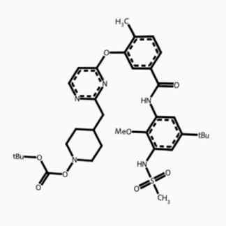 COc1c(NC(=O)c2ccc(C)c(Oc3ccnc(CC4CCN(OC(=O)OC(C)(C)C)CC4)n3)c2)cc(C(C)(C)C)cc1NS(C)(=O)=O